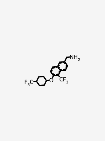 NCc1ccc2c(C(F)(F)F)c(OC3CCC(C(F)(F)F)CC3)ccc2c1